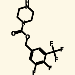 O=C(OCc1cc(F)c(F)c(C(F)(F)F)c1)N1CCNCC1